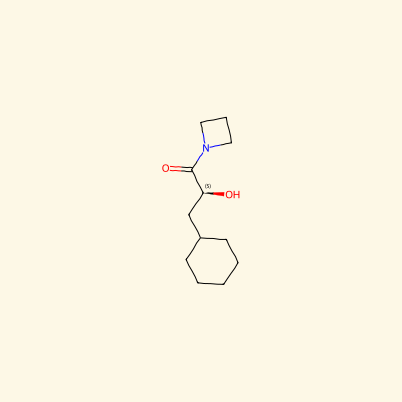 O=C([C@@H](O)CC1CCCCC1)N1CCC1